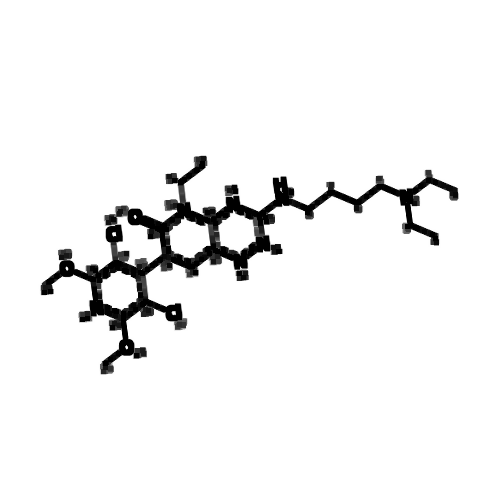 CCN(CC)CCCCNc1nnc2cc(-c3c(Cl)c(OC)nc(OC)c3Cl)c(=O)n(CC)c2n1